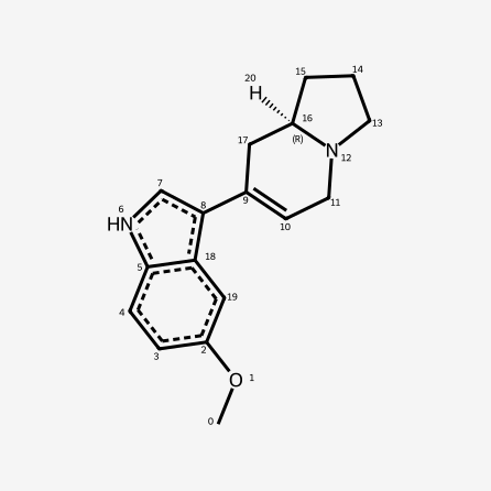 COc1ccc2[nH]cc(C3=CCN4CCC[C@@H]4C3)c2c1